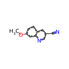 COc1ccc2cc(C#N)cnc2c1